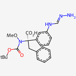 CON(C(=O)OC(C)(C)C)[C@@](Cc1ccccc1)(C(=O)O)c1cccc(NC=NN)c1